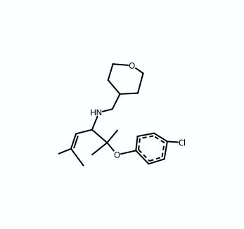 CC(C)=CC(NCC1CCOCC1)C(C)(C)Oc1ccc(Cl)cc1